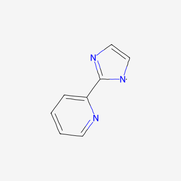 C1=CN=C(c2ccccn2)[N]1